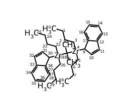 CCC[CH2][Zr]([CH2]CCC)([CH]1C=Cc2ccccc21)[C](C)(C)[Zr]([CH2]CCC)([CH2]CCC)[CH]1C=Cc2ccccc21